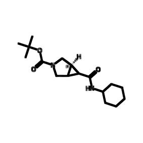 CC(C)(C)OC(=O)N1CC2C(C(=O)NC3CCCCC3)[C@@H]2C1